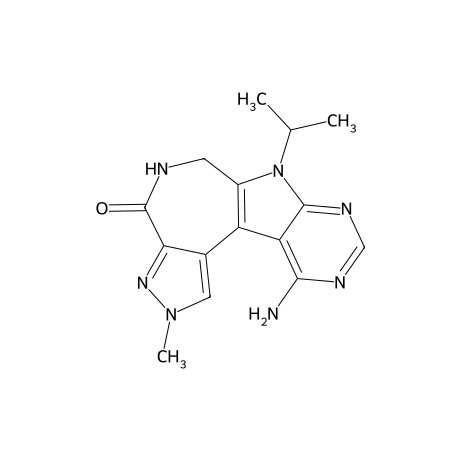 CC(C)n1c2c(c3c(N)ncnc31)-c1cn(C)nc1C(=O)NC2